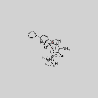 CC(=O)c1c([C@@H]2C[C@H]3CC[C@@H](C2)N3C(=O)CNS(C)(=O)=O)nc2c(-c3ccc(-c4ccccc4)nc3)cnn2c1N